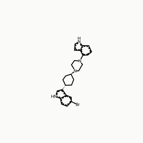 Brc1ccc2[nH]cc([C@H]3CC[C@H](N4CCN(c5cccc6[nH]ccc56)CC4)CC3)c2c1